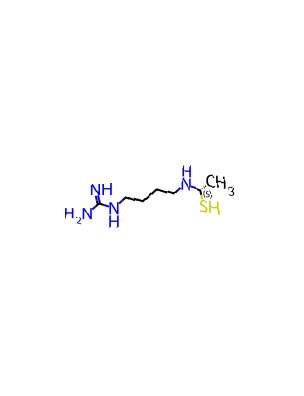 C[C@H](S)NCCCCNC(=N)N